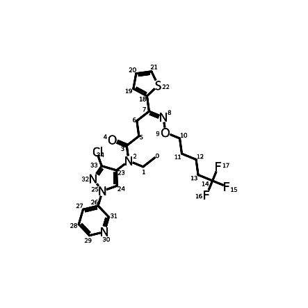 CCN(C(=O)CCC(=NOCCCCC(F)(F)F)c1cccs1)c1cn(-c2cccnc2)nc1Cl